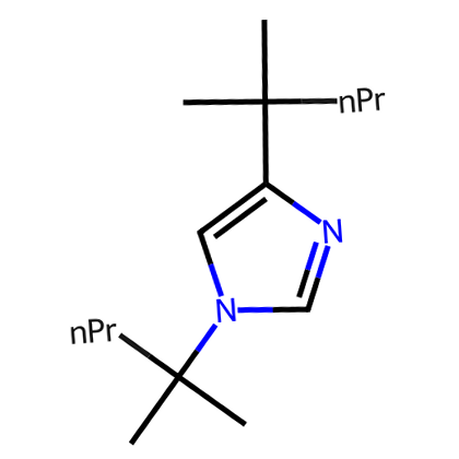 CCCC(C)(C)c1cn(C(C)(C)CCC)cn1